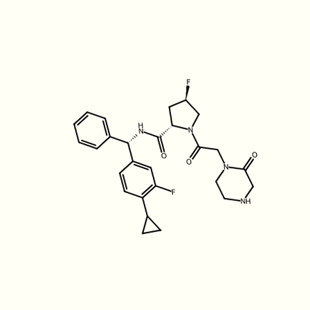 O=C(N[C@@H](c1ccccc1)c1ccc(C2CC2)c(F)c1)[C@@H]1C[C@@H](F)CN1C(=O)CN1CCNCC1=O